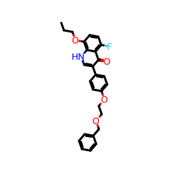 CCCOc1ccc(F)c2c(=O)c(-c3ccc(OCCOCc4ccccc4)cc3)c[nH]c12